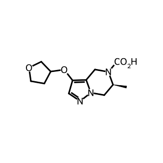 C[C@H]1Cn2ncc(OC3CCOC3)c2CN1C(=O)O